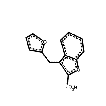 O=C(O)c1oc2ccccc2c1Cc1ccco1